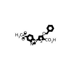 CS(=O)(=O)c1ccc2c(c1)ncn2-c1cc(OCc2ccccc2)c(C(=O)O)s1